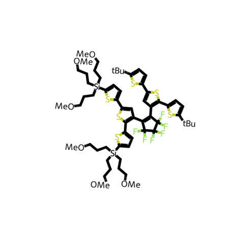 COCCC[Si](CCCOC)(CCCOC)c1ccc(-c2cc(C3=C(c4cc(-c5ccc(C(C)(C)C)s5)sc4-c4ccc(C(C)(C)C)s4)C(F)(F)C(F)(F)C3(F)F)c(-c3ccc([Si](CCCOC)(CCCOC)CCCOC)s3)s2)s1